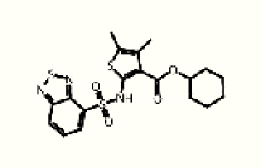 Cc1sc(NS(=O)(=O)c2cccc3nsnc23)c(C(=O)OC2CCCCC2)c1C